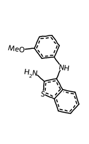 COc1cccc(Nc2c(N)sc3ccccc23)c1